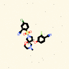 CN1CCO[C@]2(C1)CN(S(=O)(=O)c1ccc(Cl)cc1C#N)C[C@@H]2Oc1ccc(C#N)c(F)c1